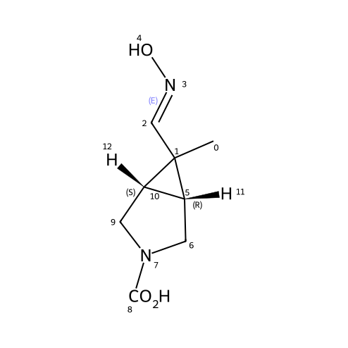 CC1(/C=N/O)[C@@H]2CN(C(=O)O)C[C@@H]21